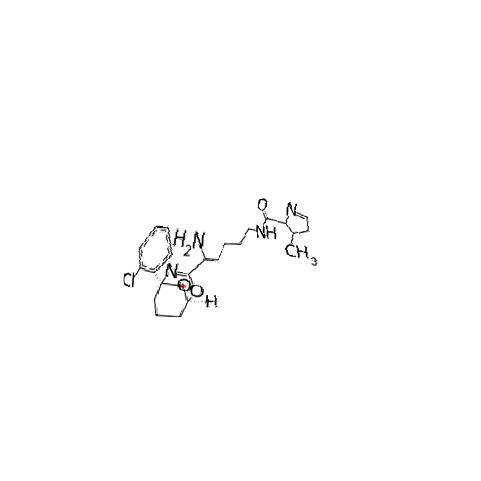 CC1CC=NC1C(=O)NCCCCC(N)C1=N[C@]2(c3ccccc3Cl)CCC[C@H](O1)C2=O